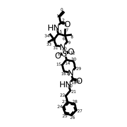 C=CC(=O)NC1C(C)(C)CN(S(=O)(=O)C2CCN(C(=O)NCCc3ccccc3)CC2)CC1(C)C